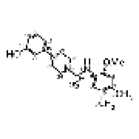 COc1cc(C)c(C)cc1NC(=S)N1CCN(c2cccc(O)c2)CC1